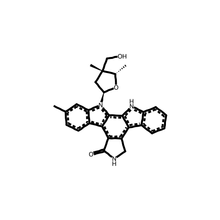 Cc1ccc2c3c4c(c5c6ccccc6[nH]c5c3n([C@H]3C[C@](C)(CO)[C@H](C)O3)c2c1)CNC4=O